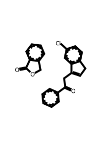 O=C(CC1=CCc2ccc(Cl)cc21)c1ccccc1.O=C1OCc2ccccc21